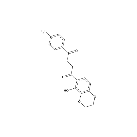 O=C(CCC(=O)c1ccc2c(c1O)OCCO2)c1ccc(C(F)(F)F)cc1